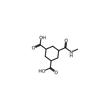 CNC(=O)C1CC(C(=O)O)CC(C(=O)O)C1